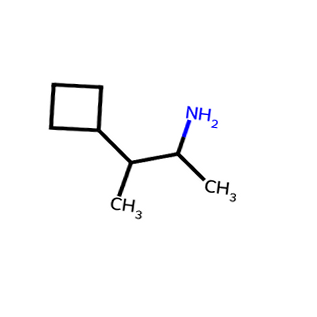 CC(N)C(C)C1CCC1